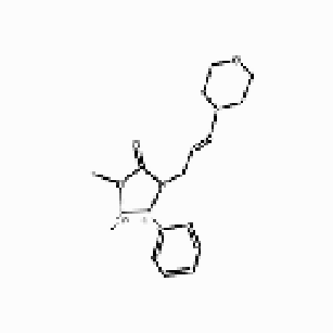 C[C@H]1[C@@H](c2ccccc2)N(CC=CC2CCOCC2)C(=O)N1C